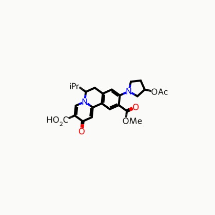 COC(=O)c1cc2c(cc1N1CCC(OC(C)=O)C1)CC(C(C)C)n1cc(C(=O)O)c(=O)cc1-2